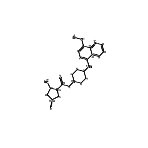 CCOc1ccc(NC2CCN(CC(=O)N3C[C@@H](F)CC3C#N)CC2)c2cccnc12